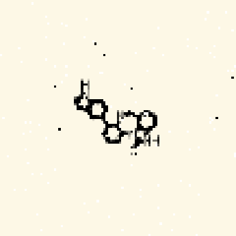 O=c1[nH]c2cccc3c2n1-c1cccc(-c2ccc4[nH]ccc4c2)c1N=C3